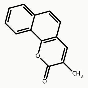 Cc1cc2ccc3ccccc3c2oc1=O